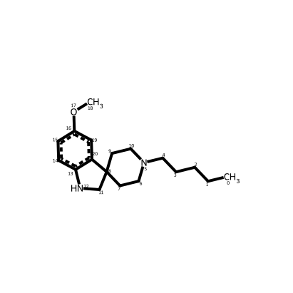 CCCCCN1CCC2(CC1)CNc1ccc(OC)cc12